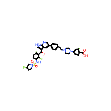 O=C(O)c1ccc(N2CCN(CCc3ccc(-c4cnc5[nH]cc(C(=O)c6c(F)ccc(NS(=O)(=O)N7CC[C@@H](F)C7)c6F)c5c4)cc3)CC2)cc1F